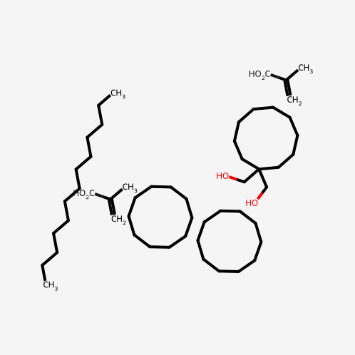 C1CCCCCCCCC1.C1CCCCCCCCC1.C=C(C)C(=O)O.C=C(C)C(=O)O.CCCCCCCCCCCCC.OCC1(CO)CCCCCCCCC1